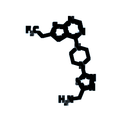 NCc1nnc(N2CCN(c3ncnc4sc(CC(F)(F)F)cc34)CC2)s1